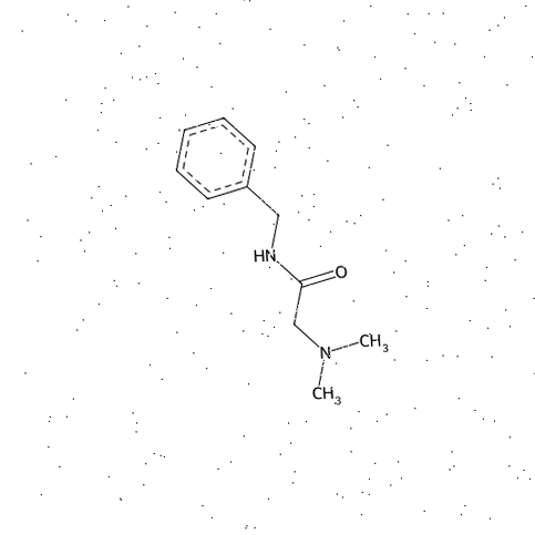 CN(C)CC(=O)NCc1cc[c]cc1